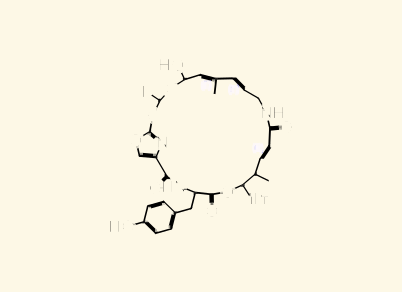 CC1=C\C(O)CC(F)Cc2nc(co2)C(=O)NC(Cc2ccc(O)cc2)C(=O)OC(C(C)C)C(C)/C=C/C(=O)NC\C=C\1